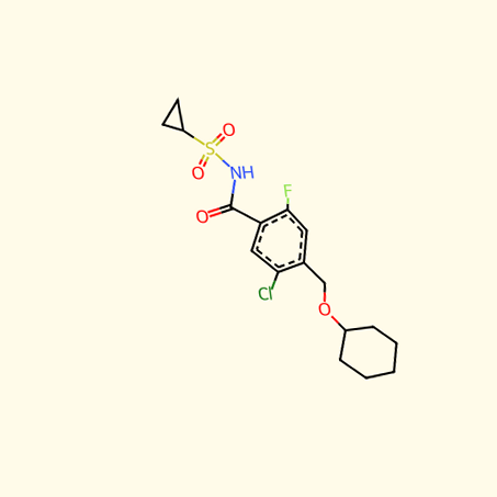 O=C(NS(=O)(=O)C1CC1)c1cc(Cl)c(COC2CCCCC2)cc1F